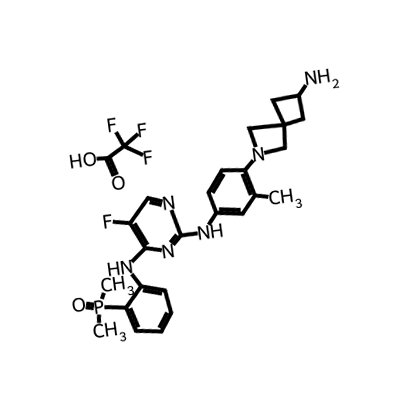 Cc1cc(Nc2ncc(F)c(Nc3ccccc3P(C)(C)=O)n2)ccc1N1CC2(CC(N)C2)C1.O=C(O)C(F)(F)F